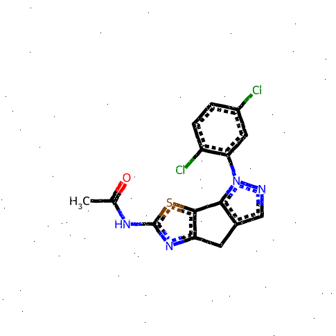 CC(=O)Nc1nc2c(s1)-c1c(cnn1-c1cc(Cl)ccc1Cl)C2